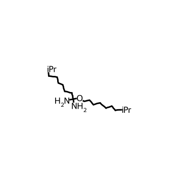 CC(C)CCCCCCCOC(N)(N)CCCCCCC(C)C